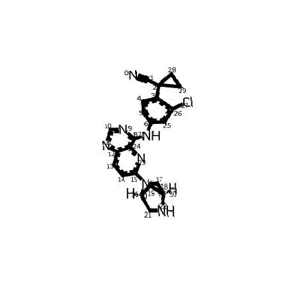 N#CC1(c2ccc(Nc3ncnc4ccc(N5C[C@@H]6C[C@H]5CN6)nc34)cc2Cl)CC1